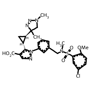 COc1ccc(Cl)cc1S(=O)(=O)N(C)Cc1cccc(-n2ncc(C(=O)O)c2[C@@H]2C[C@H]2C2(C)CN(C)N=N2)c1